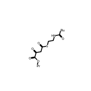 CCC(C)C(=O)NCCSC(=O)CC(=O)C(=O)OC(C)C